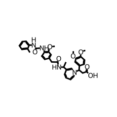 COc1cc(CC(=O)NC(C)C2=CN(C(CC(=O)O)c3ccc(OC)c(OC)c3)C=CC=C2)ccc1NC(=O)Nc1ccccc1C